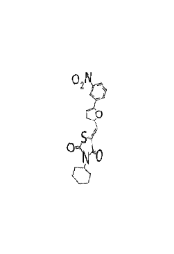 O=C1S/C(=C\C2CC=C(c3cccc([N+](=O)[O-])c3)O2)C(=O)N1C1CCCCC1